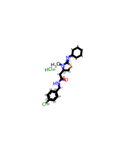 CN1/C(=N/C2CCCCC2)SCC1CC(=O)NCc1ccc(Cl)cc1.Cl